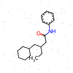 CCC(CC(=O)Nc1ccccc1)CC1CCCCC1